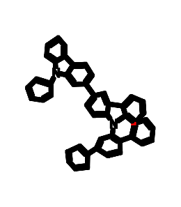 c1ccc(-c2ccc(-c3ccccc3)c(-n3c4ccccc4c4cc(-c5ccc6c7ccccc7n(-c7ccccc7)c6c5)ccc43)c2)cc1